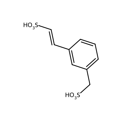 O=S(=O)(O)C=Cc1cccc(CS(=O)(=O)O)c1